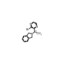 C[C@H](c1nccnc1Br)N1Cc2ccccc2C1